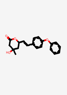 CC1(O)CC(=O)OC(C=Cc2ccc(Oc3ccccc3)cc2)C1